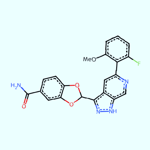 COc1cccc(F)c1-c1cc2c(C3Oc4ccc(C(N)=O)cc4O3)n[nH]c2cn1